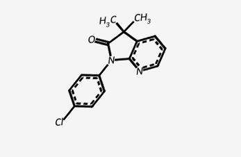 CC1(C)C(=O)N(c2ccc(Cl)cc2)c2ncccc21